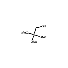 CO[Si](CS)(OC)OC